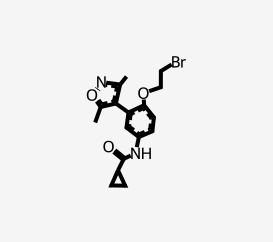 Cc1noc(C)c1-c1cc(NC(=O)C2CC2)ccc1OCCBr